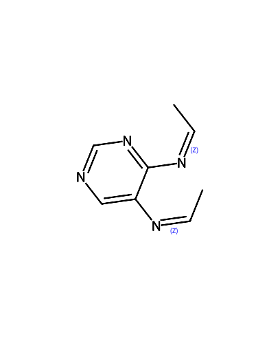 C/C=N\c1cncnc1/N=C\C